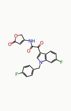 O=C1C=C(NC(=O)C(=O)c2cn(Cc3ccc(F)cc3)c3cc(F)ccc23)CO1